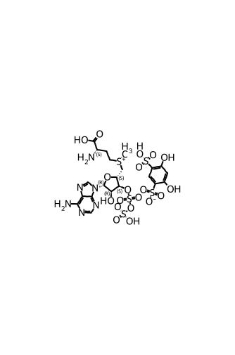 C[S+](CC[C@H](N)C(=O)O)C[C@H]1O[C@@H](n2cnc3c(N)ncnc32)[C@H](O)[C@@H]1OS(=O)(=O)OS(=O)(=O)O.O=S(=O)([O-])c1cc(S(=O)(=O)O)c(O)cc1O